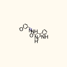 COc1cccc(/C=N/NC(=O)C2Cc3c([nH]c4ccccc34)C(C)N2)c1